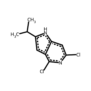 CC(C)c1cc2c(Cl)nc(Cl)cc2[nH]1